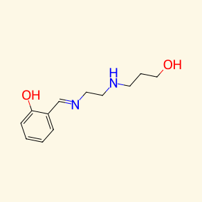 OCCCNCCN=Cc1ccccc1O